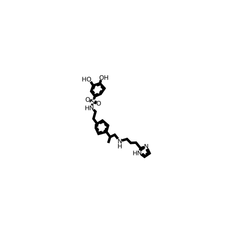 CC(CNCCCc1ncc[nH]1)c1ccc(CCNS(=O)(=O)c2ccc(O)c(O)c2)cc1